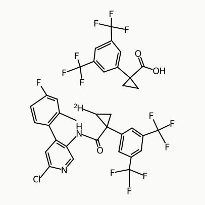 O=C(O)C1(c2cc(C(F)(F)F)cc(C(F)(F)F)c2)CC1.[2H]C1CC1(C(=O)Nc1cnc(Cl)cc1-c1ccc(F)cc1C)c1cc(C(F)(F)F)cc(C(F)(F)F)c1